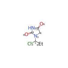 CCC(Cl)N1CC(=O)NC1=O